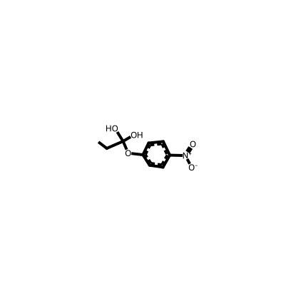 CCC(O)(O)Oc1ccc([N+](=O)[O-])cc1